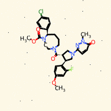 COC(=O)N1CCN(C(=O)[C@@H]2CN(c3ccc(=O)n(C)n3)C[C@H]2c2ccc(OC)cc2F)CCC[C@@H]1c1ccc(Cl)cc1